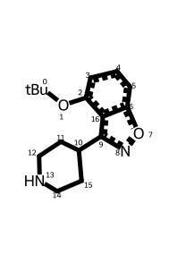 CC(C)(C)Oc1cccc2onc(C3CCNCC3)c12